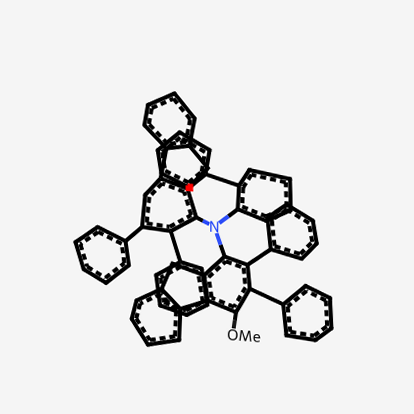 COc1c2c(c(N(c3ccccc3-c3ccccc3)c3c4c(cc(-c5ccccc5)c3-c3ccccc3)-c3ccccc3C4)c(-c3ccccc3)c1-c1ccccc1)Cc1ccccc1-2